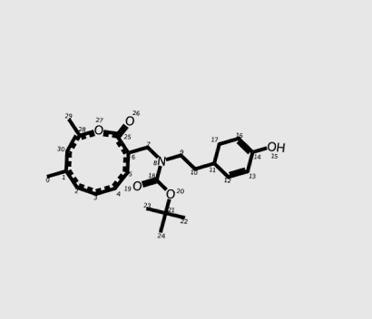 Cc1ccccc(CN(CCC2C=CC(O)=CC2)C(=O)OC(C)(C)C)c(=O)oc(C)c1